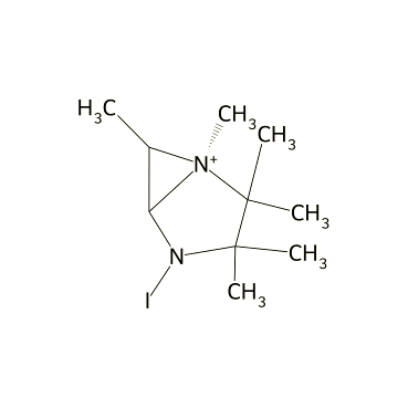 CC1C2N(I)C(C)(C)C(C)(C)[N@+]12C